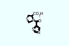 O=C(O)C1CSCN1C(=O)c1cncs1